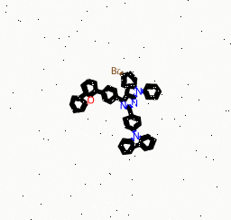 Brc1ccc2c(c1)c1c(-c3ccc(-c4cccc5c4oc4ccccc45)cc3)nc(-c3ccc(-n4c5ccccc5c5ccccc54)cc3)nc1n2-c1ccccc1